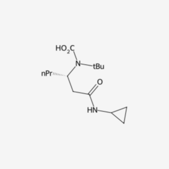 CCC[C@@H](CC(=O)NC1CC1)N(C(=O)O)C(C)(C)C